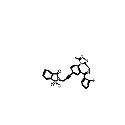 Cc1nnc2n1-c1ccc(C#CCN3C(=O)c4ccccc4S3(=O)=O)cc1C(c1ccccc1F)=NC2